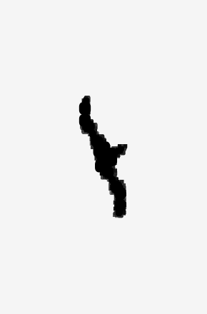 C=CCOCCCOc1ccc(C#Cc2ccc(C(=O)Oc3ccc(OC(=O)c4ccc(C#Cc5ccc(OCCCOCC=C)cc5)cc4)c(C(=O)OCCCC)c3)cc2)cc1